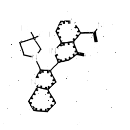 CC1(C)CCN(c2nc3ccccc3cc2-c2cc(=O)c3c(C(N)=O)nccc3[nH]2)C1